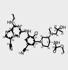 CCNc1nc(Nc2cc(C#N)cc(N3CC[C@@H](NC(=O)OC)[C@H](N(C)CC(C)(C)O)C3)c2Cl)nn2c(C#N)cnc12